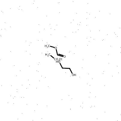 CCOC(C)=O.COC=O.OCCO